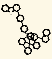 c1ccc2c(c1)-c1ccccc1C21c2ccccc2-c2cccc(N(c3ccc(-c4ccc(-c5cccc6c5oc5ccccc56)cc4)cc3)c3ccc(-c4cccc5ccccc45)cc3)c21